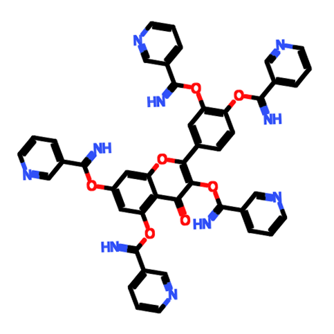 N=C(Oc1cc(OC(=N)c2cccnc2)c2c(=O)c(OC(=N)c3cccnc3)c(-c3ccc(OC(=N)c4cccnc4)c(OC(=N)c4cccnc4)c3)oc2c1)c1cccnc1